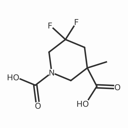 CC1(C(=O)O)CN(C(=O)O)CC(F)(F)C1